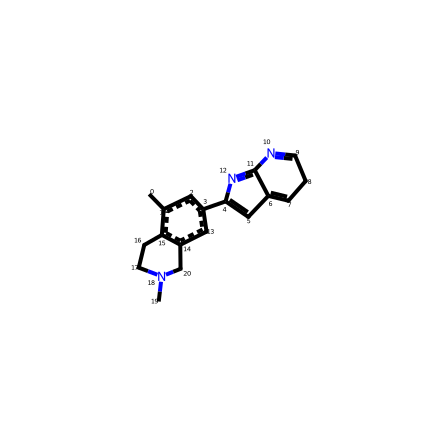 Cc1cc(C2=CC3=CCC=NC3=N2)cc2c1CCN(C)C2